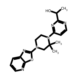 CC(O)c1nccc(N2CCN(c3nc4cccnc4o3)CC2(C)C)n1